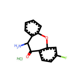 Cl.NC1C(=O)c2ccc(F)cc2Oc2ccccc21